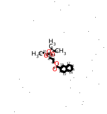 CCO[Si](CCCOC(=O)c1ccc2ccccc2c1)(OCC)OCC